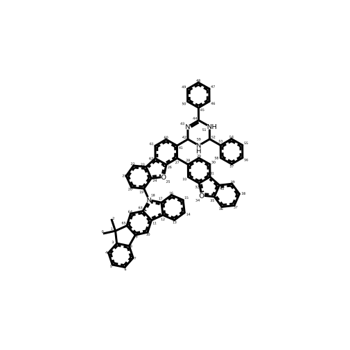 CC1(C)c2ccccc2-c2cc3c4ccccc4n(-c4cccc5c4oc4c(-c6ccc7c(c6)oc6ccccc67)c(C6N=C(c7ccccc7)NC(c7ccccc7)N6)ccc45)c3cc21